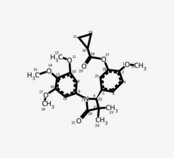 COc1ccc([C@@H]2N(c3cc(OC)c(OC)c(OC)c3)C(=O)C2(C)C)cc1OC(=O)C1CC1